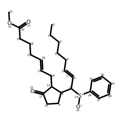 CCCCC/C=C/C(C1CCC(=O)C1CC=CCCCC(=O)OC)[S+]([O-])c1ccccc1